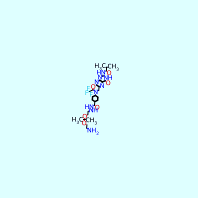 CC(C)C(=O)Nc1nc2ncc(CN(C(=O)C(F)(F)F)c3ccc(C(=O)NNCCOC(C)(C)OCCN)cc3)nc2c(=O)[nH]1